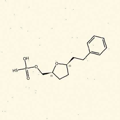 O=P(O)(S)OC[C@@H]1CC[C@H](CCc2ccccc2)O1